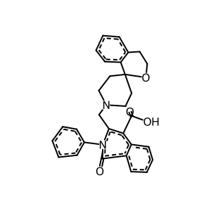 O=C(O)c1c(CN2CCC3(CC2)OCCc2ccccc23)n(-c2ccccc2)c(=O)c2ccccc12